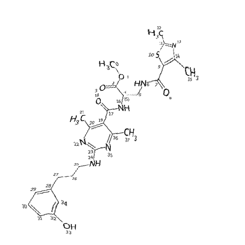 COC(=O)[C@H](CNC(=O)c1sc(C)nc1C)NC(=O)c1c(C)nc(NCCCc2cccc(O)c2)nc1C